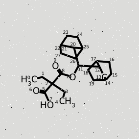 CCC(CC)(C(=O)O)C(=O)OC(C1CC2CCC1CC2)C1CC2CCC1CC2